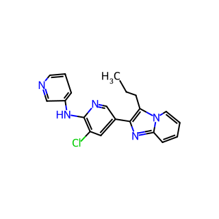 CCCc1c(-c2cnc(Nc3cccnc3)c(Cl)c2)nc2ccccn12